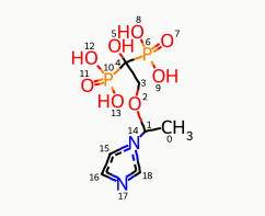 CC(OCC(O)(P(=O)(O)O)P(=O)(O)O)n1ccnc1